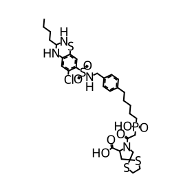 CCCCC1NSc2cc(S(=O)(=O)NCc3ccc(CCCCCP(=O)(O)CC(=O)N4CC5(CC4C(=O)O)SCCS5)cc3)c(Cl)cc2N1